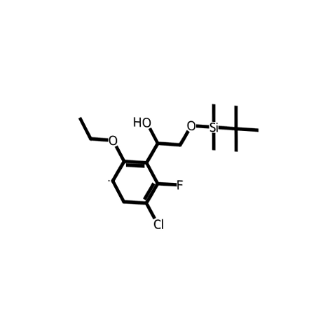 CCOC1=C(C(O)CO[Si](C)(C)C(C)(C)C)C(F)=C(Cl)C[CH]1